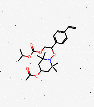 C=Cc1ccc(C(COC(=O)OC(C)C)ON2C(C)(C)CC(OC(C)=O)CC2(C)C)cc1